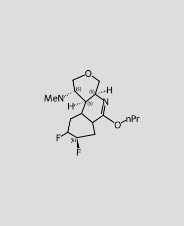 CCCOC1=N[C@@H]2COC[C@@H](NC)[C@@H]2C2CC(F)[C@H](F)CC12